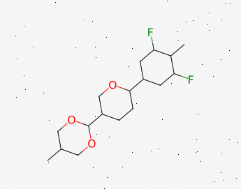 CC1COC(C2CCC(C3CC(F)C(C)C(F)C3)OC2)OC1